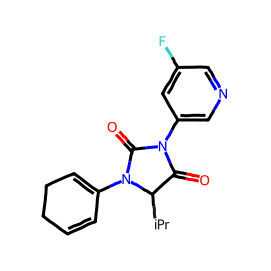 CC(C)C1C(=O)N(c2cncc(F)c2)C(=O)N1C1=CCCC=C1